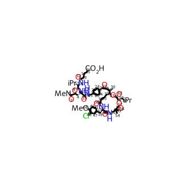 CNC(=O)CC[C@H](NC(=O)[C@@H](NC(=O)CCCC(=O)O)C(C)C)C(=O)NCc1ccc([C@H]2O[C@@H]2[C@@H](C)[C@@H]2C/C=C/C(=O)N[C@H](Cc3ccc(OC)c(Cl)c3)C(=O)NCC(C)(C)C(=O)O[C@@H](CC(C)C)C(=O)O2)cc1